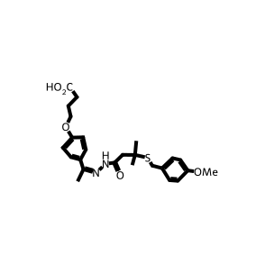 COc1ccc(CSC(C)(C)CC(=O)NN=C(C)c2ccc(OCCCC(=O)O)cc2)cc1